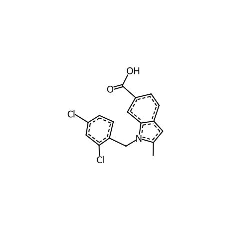 Cc1cc2ccc(C(=O)O)cc2n1Cc1ccc(Cl)cc1Cl